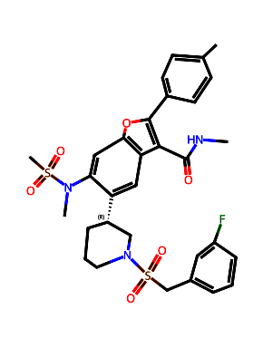 CNC(=O)c1c(-c2ccc(C)cc2)oc2cc(N(C)S(C)(=O)=O)c([C@H]3CCCN(S(=O)(=O)Cc4cccc(F)c4)C3)cc12